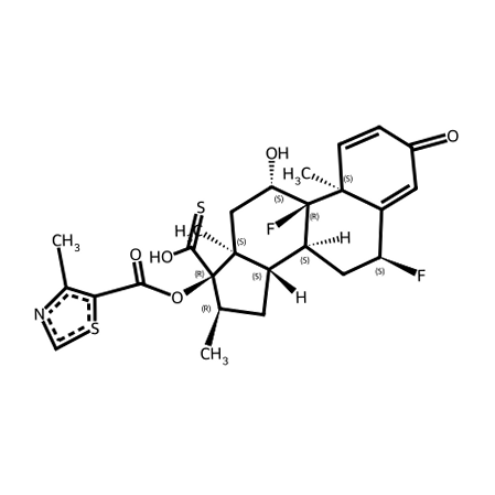 Cc1ncsc1C(=O)O[C@]1(C(O)=S)[C@H](C)C[C@H]2[C@@H]3C[C@H](F)C4=CC(=O)C=C[C@]4(C)[C@@]3(F)[C@@H](O)C[C@@]21C